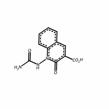 NC(=O)Nn1c(=O)c(C(=O)O)cc2ccccc21